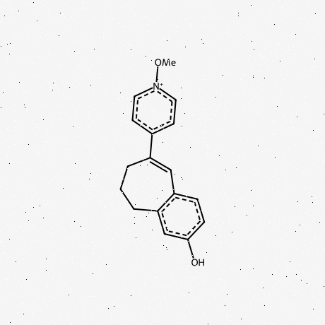 CO[n+]1ccc(C2=Cc3ccc(O)cc3CCC2)cc1